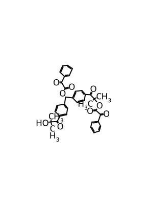 CC(C)(O)C(=O)c1ccc(C(OC(=O)C(=O)c2ccccc2)c2ccc(C(=O)C(C)(C)OC(=O)C(=O)c3ccccc3)cc2)cc1